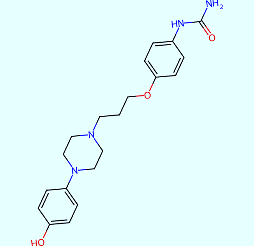 NC(=O)Nc1ccc(OCCCN2CCN(c3ccc(O)cc3)CC2)cc1